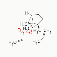 C=CC.C=CC(=O)OC1C[C@H]2CC[C@@]1(C)C2(C)C